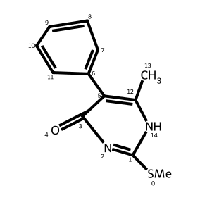 CSc1nc(=O)c(-c2ccccc2)c(C)[nH]1